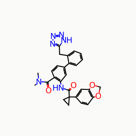 CN(C)C(=O)c1ccc(-c2ccccc2Cc2nnn[nH]2)cc1NC(=O)C1(c2ccc3c(c2)OCO3)CC1